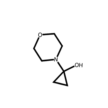 OC1(N2CCOCC2)CC1